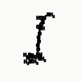 Cc1nn(-c2ccc(C(N)=O)c(NCCCOCCOCCOCCOCCOCCCNC(=O)c3ccc(/N=N/c4ccc(CCN)cc4O)cc3)c2)c2c1C(=O)CC(C)(C)C2